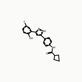 O=C(Nc1ccc(-c2cc(-c3cc(F)ccc3O)n[nH]2)cc1)C1CCC1